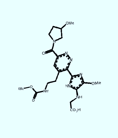 COc1nc(-c2nnc(C(=O)N3CCC(OC)C3)cc2CCNC(=O)OC(C)(C)C)[nH]c1NCC(=O)O